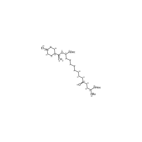 C=C(OC(CCCCCCCCCC)CCCCCCCCC(=O)CCC(CCCC)CCCCCC)C1CCN(CC)CC1